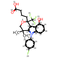 CC1(C)COC(CCCC(=O)O)(C(F)(F)F)c2c1n(-c1ccc(F)cc1)c1cccc(O)c21